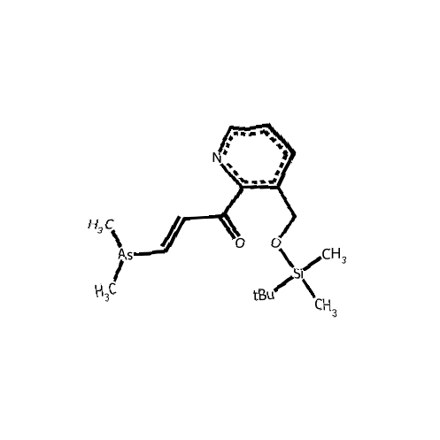 C[As](C)/C=C/C(=O)c1ncccc1CO[Si](C)(C)C(C)(C)C